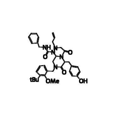 C=CCN1CC(=O)N2C(Cc3ccc(O)cc3)C(=O)N(Cc3cccc(C(C)(C)C)c3OC)CC2N1C(=O)NCc1ccccc1